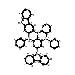 c1ccc(N2c3ccccc3B3c4cc5c(cc4N(c4ccccc4)c4cc(-n6c7ccccc7c7ccccc76)cc2c43)sc2ccccc25)cc1